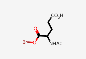 CC(=O)NC(CCC(=O)O)C(=O)OBr